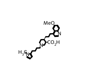 COc1ccc2nccc(CCC[C@@H]3CCN(CCCCc4cccn4C)C[C@@H]3C(=O)O)c2c1